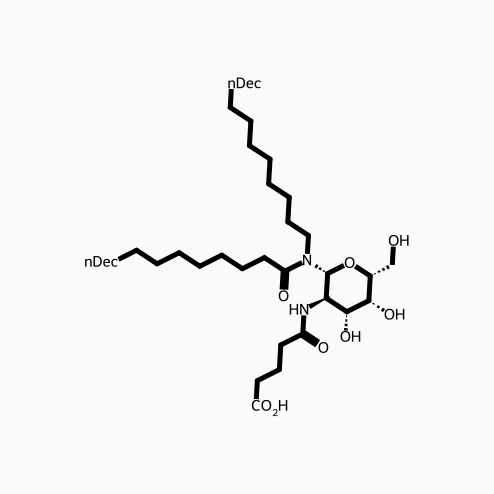 CCCCCCCCCCCCCCCCCCN(C(=O)CCCCCCCCCCCCCCCCC)[C@@H]1O[C@H](CO)[C@H](O)[C@H](O)[C@H]1NC(=O)CCCC(=O)O